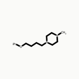 CC(C)OCCCCN1CCN(C)CC1